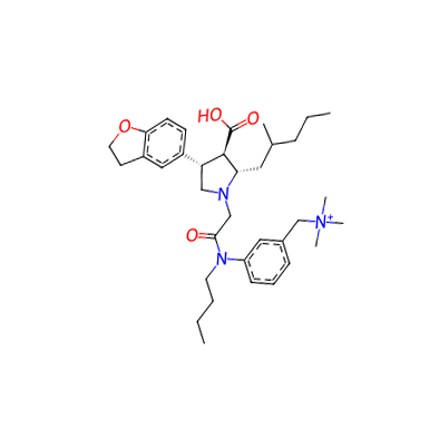 CCCCN(C(=O)CN1C[C@H](c2ccc3c(c2)CCO3)[C@@H](C(=O)O)[C@@H]1CC(C)CCC)c1cccc(C[N+](C)(C)C)c1